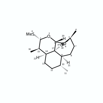 CS[C@@H]1O[C@@H]2O[C@@]3(C)CC[C@H]4[C@H](C)CC[C@@H]([C@H]1C)[C@@]24OO3